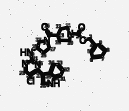 O=C(OCc1ccccc1)N1CCC(C(=O)N2CC[C@H](Nc3ncc(Cl)c(-c4c[nH]c5ccccc45)n3)C2)CC1